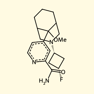 COC1(c2ccnc(C(N)=O)c2)C2CCCC1CN([C@H]1C[C@@H](F)C1)C2